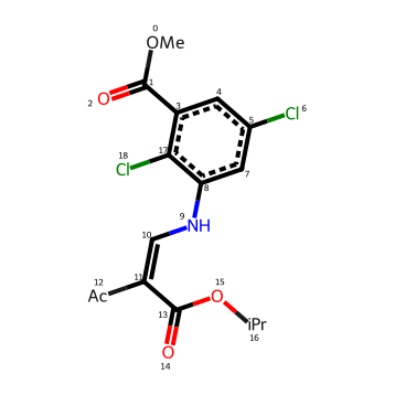 COC(=O)c1cc(Cl)cc(NC=C(C(C)=O)C(=O)OC(C)C)c1Cl